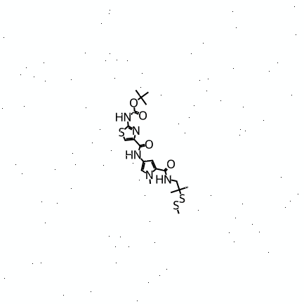 CSSC(C)(C)CNC(=O)c1cc(NC(=O)c2csc(NC(=O)OC(C)(C)C)n2)cn1C